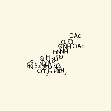 CC(=O)Oc1cc(OC(C)=O)cc(C(=O)NC(=O)NNC(=O)CON=C(C(=O)NC2C(=O)N3CC(CSc4nncs4)(C(=O)O)CS[C@H]23)c2csc(N)n2)c1.Cl